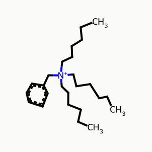 CCCCCC[N+](CCCCCC)(CCCCCC)Cc1ccccc1